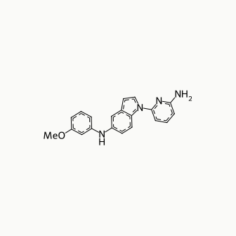 COc1cccc(Nc2ccc3c(ccn3-c3cccc(N)n3)c2)c1